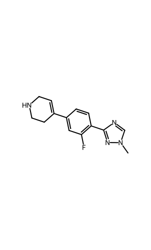 Cn1cnc(-c2ccc(C3=CCNCC3)cc2F)n1